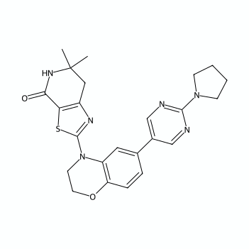 CC1(C)Cc2nc(N3CCOc4ccc(-c5cnc(N6CCCC6)nc5)cc43)sc2C(=O)N1